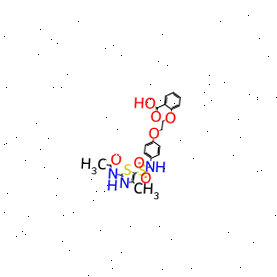 CC(=O)Nc1nc(C)c(S(=O)(=O)Nc2ccc(OCCOc3ccccc3C(=O)O)cc2)s1